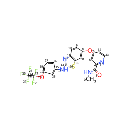 CNC(=O)c1cc(Oc2ccc3nc(Nc4cccc(OC(F)(F)C(F)(F)F)c4)sc3c2)ccn1